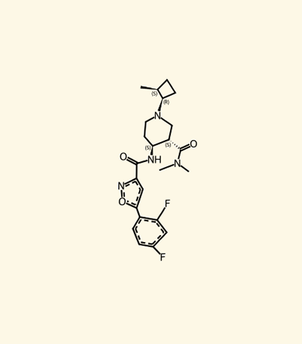 C[C@H]1CC[C@H]1N1CC[C@H](NC(=O)c2cc(-c3ccc(F)cc3F)on2)[C@@H](C(=O)N(C)C)C1